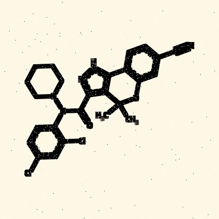 CC1(C)Oc2cc(C#N)ccc2-c2[nH]nc(C(=O)N(c3ccc(Cl)cc3Cl)N3CCCCC3)c21